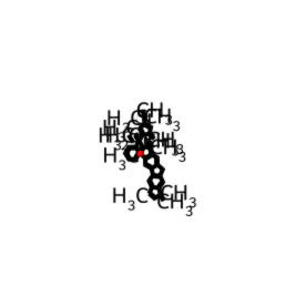 [CH2]=[Zr]([CH2]C)([C]1=C(C)C([Si](C)(C)C)=CC1C)([C]1=C(C)c2cc3c(cc2C1(C)C)Cc1cc2c(cc1-3)C(C)=CC2(C)C)[c]1ccccc1